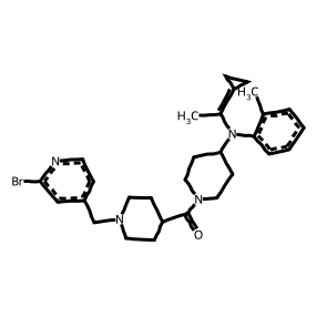 CC(=C1CC1)N(c1ccccc1C)C1CCN(C(=O)C2CCN(Cc3ccnc(Br)c3)CC2)CC1